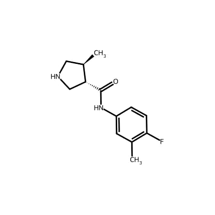 Cc1cc(NC(=O)[C@@H]2CNC[C@H]2C)ccc1F